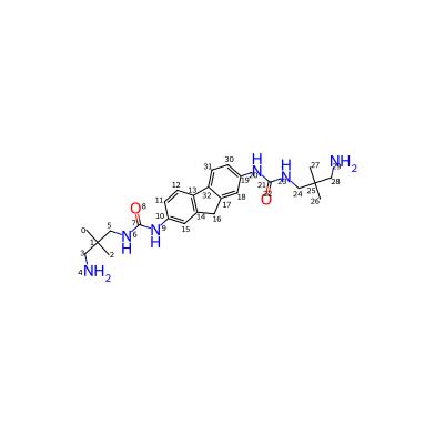 CC(C)(CN)CNC(=O)Nc1ccc2c(c1)Cc1cc(NC(=O)NCC(C)(C)CN)ccc1-2